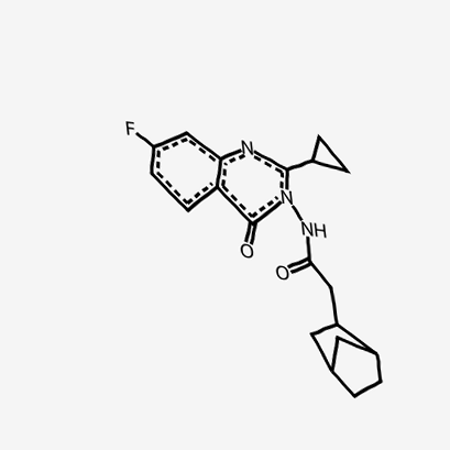 O=C(CC1CC2CCC1C2)Nn1c(C2CC2)nc2cc(F)ccc2c1=O